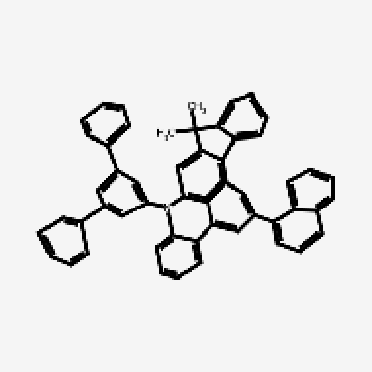 CC1(C)c2ccccc2-c2ccc(N(c3cc(-c4ccccc4)cc(-c4ccccc4)c3)c3ccccc3-c3cccc(-c4cccc5ccccc45)c3)cc21